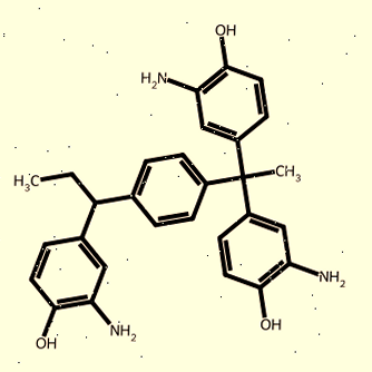 CCC(c1ccc(C(C)(c2ccc(O)c(N)c2)c2ccc(O)c(N)c2)cc1)c1ccc(O)c(N)c1